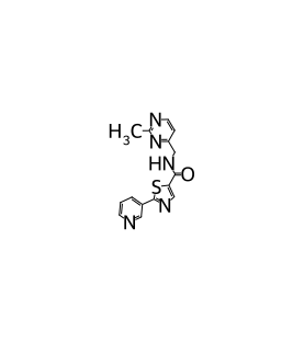 Cc1nccc(CNC(=O)c2cnc(-c3cccnc3)s2)n1